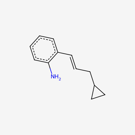 Nc1ccccc1/C=C/CC1CC1